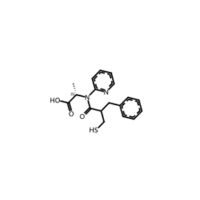 C[C@@H](C(=O)O)N(C(=O)C(CS)Cc1ccccc1)c1ccccn1